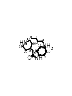 CCCCN.O=c1[nH]c2ccccc2n1C1CCNCC1